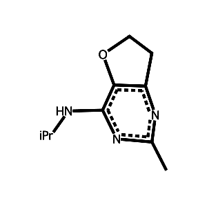 Cc1nc2c(c(NC(C)C)n1)OCC2